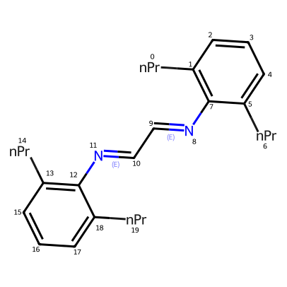 CCCc1cccc(CCC)c1/N=C/C=N/c1c(CCC)cccc1CCC